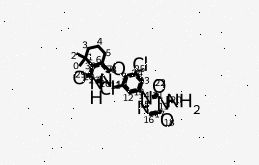 CC1(C)CCCc2c(Oc3c(Cl)cc(-n4ncc(=O)n(N)c4=O)cc3Cl)n[nH]c(=O)c21